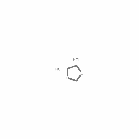 C1COCO1.Cl.Cl